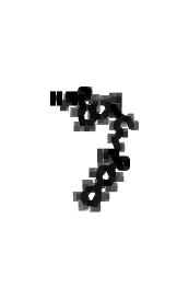 CCC(CCCCNC(=O)c1ccc(-c2ccccc2)cc1)NC1CCc2c(cccc2C(N)=O)C1